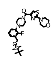 CC(C)(C)[Si](C)(C)OCc1cccc(N2CCN(C(=O)c3csc(N4CCOCC4)n3)CC2)c1F